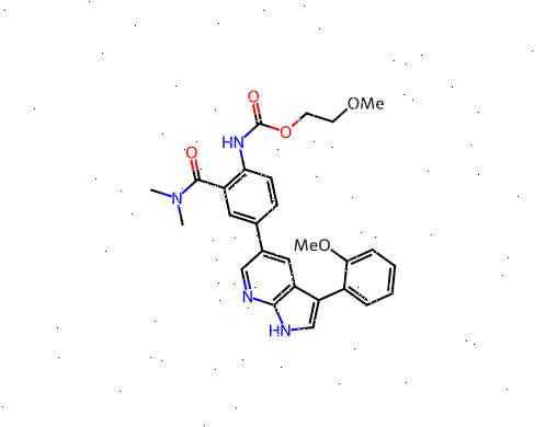 COCCOC(=O)Nc1ccc(-c2cnc3[nH]cc(-c4ccccc4OC)c3c2)cc1C(=O)N(C)C